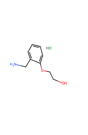 Cl.NCc1ccccc1OCCO